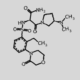 CCc1c(N2CCOCC2=O)cccc1S(=O)(=O)N[C@@H](C(N)=O)C(=O)N1CC[C@@H](N(C)C)C1